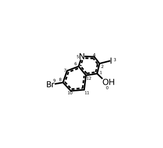 Oc1c(I)cnc2cc(Br)ccc12